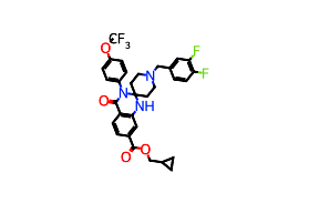 O=C(OCC1CC1)c1ccc2c(c1)NC1(CCN(Cc3ccc(F)c(F)c3)CC1)N(c1ccc(OC(F)(F)F)cc1)C2=O